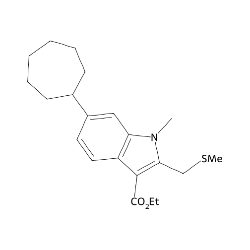 CCOC(=O)c1c(CSC)n(C)c2cc(C3CCCCCC3)ccc12